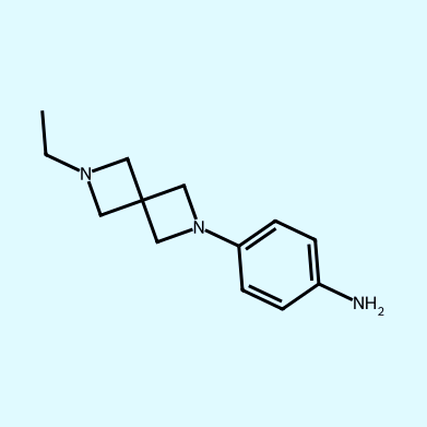 CCN1CC2(C1)CN(c1ccc(N)cc1)C2